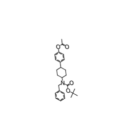 CC(=O)Oc1ccc(C2CCC(N(Cc3ccccc3)C(=O)OC(C)(C)C)CC2)cc1